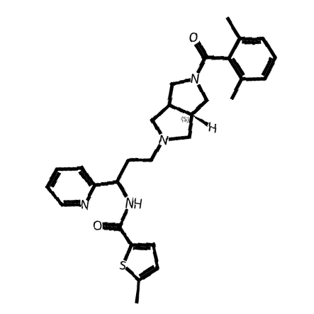 Cc1ccc(C(=O)NC(CCN2CC3CN(C(=O)c4c(C)cccc4C)C[C@@H]3C2)c2ccccn2)s1